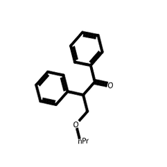 CCCOCC(C(=O)c1ccccc1)c1ccccc1